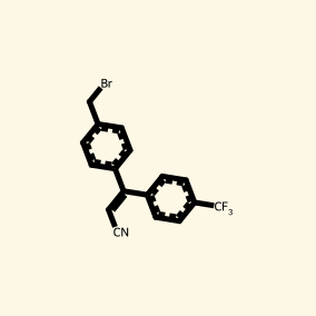 N#CC=C(c1ccc(CBr)cc1)c1ccc(C(F)(F)F)cc1